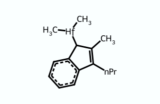 CCCC1=C(C)[CH]([Hf]([CH3])[CH3])c2ccccc21